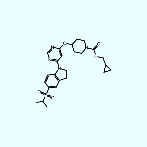 CC(C)S(=O)(=O)c1ccc2c(c1)CCN2c1cc(OC2CCN(C(=O)OCC3CC3)CC2)ncn1